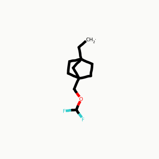 [CH2]CC12CCC(COC(F)F)(CC1)C2